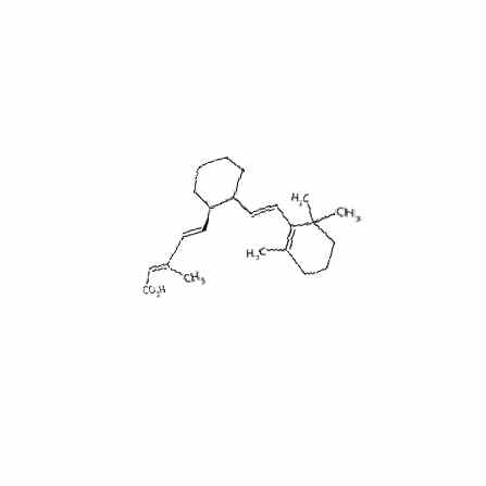 CC1=C(/C=C/C2CCCC[C@@H]2/C=C/C(C)=C/C(=O)O)C(C)(C)CCC1